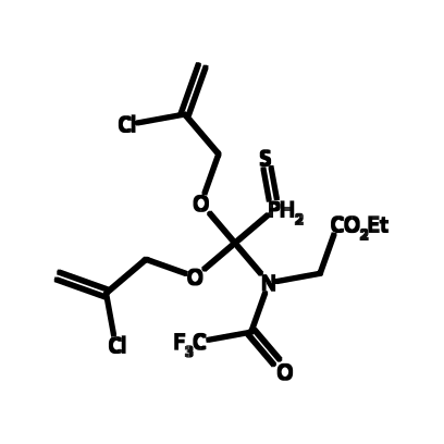 C=C(Cl)COC(OCC(=C)Cl)([PH2]=S)N(CC(=O)OCC)C(=O)C(F)(F)F